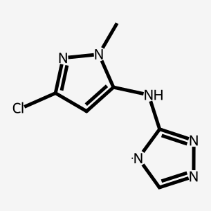 Cn1nc(Cl)cc1NC1=NN=C[N]1